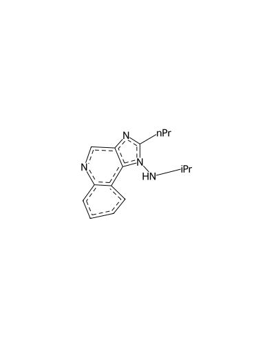 CCCc1nc2cnc3ccccc3c2n1NC(C)C